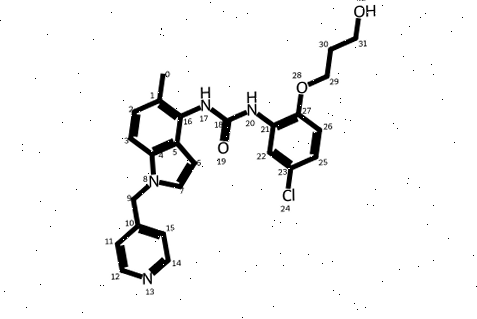 Cc1ccc2c(ccn2Cc2ccncc2)c1NC(=O)Nc1cc(Cl)ccc1OCCCO